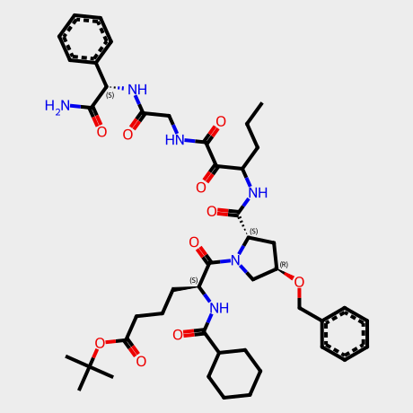 CCCC(NC(=O)[C@@H]1C[C@@H](OCc2ccccc2)CN1C(=O)[C@H](CCCC(=O)OC(C)(C)C)NC(=O)C1CCCCC1)C(=O)C(=O)NCC(=O)N[C@H](C(N)=O)c1ccccc1